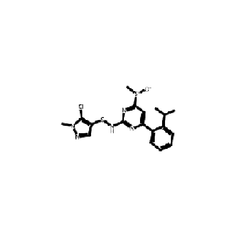 CC(C)c1ccccc1-c1cc([S+](C)[O-])nc(NSc2cnn(C)c2Cl)n1